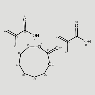 C=C(C)C(=O)O.C=C(C)C(=O)O.O=C1OCCCCCCO1